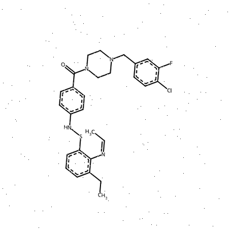 C/C=N\c1c(CC)cccc1SNc1ccc(C(=O)N2CCN(Cc3ccc(Cl)c(F)c3)CC2)cc1